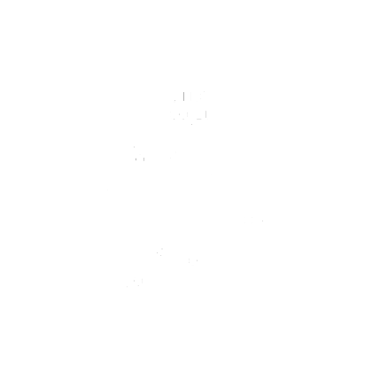 C/C=C\C1(C(=O)OCC)OCC2C(=O)OC(=O)C21